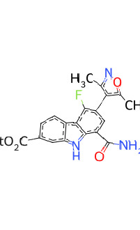 CCOC(=O)c1ccc2c(c1)[nH]c1c(C(N)=O)cc(-c3c(C)noc3C)c(F)c12